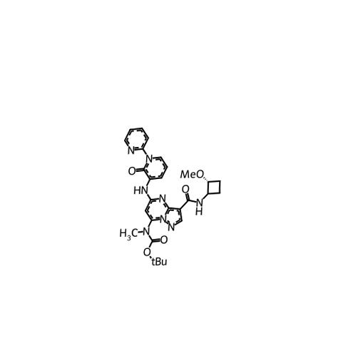 CO[C@@H]1CCC1NC(=O)c1cnn2c(N(C)C(=O)OC(C)(C)C)cc(Nc3cccn(-c4ccccn4)c3=O)nc12